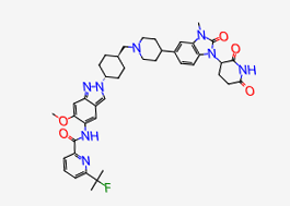 COc1cc2nn([C@H]3CC[C@H](CN4CCC(c5ccc6c(c5)n(C)c(=O)n6C5CCC(=O)NC5=O)CC4)CC3)cc2cc1NC(=O)c1cccc(C(C)(C)F)n1